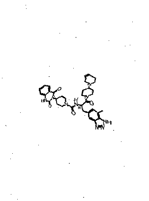 Cc1cc(C[C@@H](NC(=O)N2CCC(n3c(=O)[nH]c4ccccc4c3=O)CC2)C(=O)N2CCC(N3CCCCC3)CC2)cc2nn[nH]c12